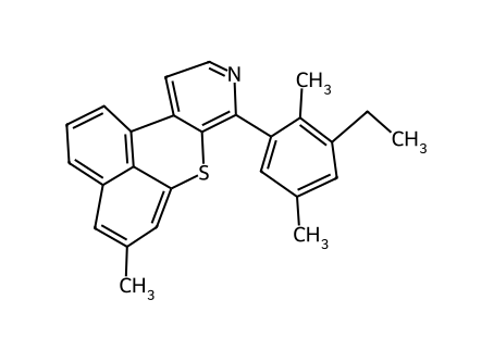 CCc1cc(C)cc(-c2nccc3c2Sc2cc(C)cc4cccc-3c24)c1C